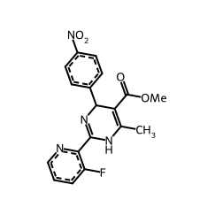 COC(=O)C1=C(C)NC(c2ncccc2F)=NC1c1ccc([N+](=O)[O-])cc1